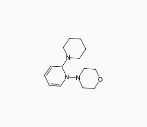 C1=CC(N2CCCCC2)N(N2CCOCC2)C=C1